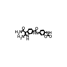 NC(=O)c1c(N)[nH]c2cc(C(=O)Nc3ccc4[nH]c(=O)oc4c3)ccc12